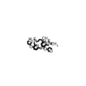 CC(C)c1ccc(O[C@@H]2CCOC2)c(CN(C)CCC(C)c2ccc(O[C@H]3CCOC3)c(CN(C)C)n2)n1